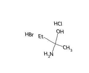 Br.CCC(C)(N)O.Cl